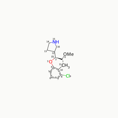 COC[C@@H](Oc1cccc(Cl)c1C)C1CCNC1